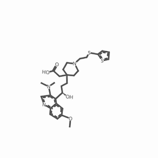 COc1ccc2ncc(N(C)C)c([C@H](O)CCC3(CC(=O)O)CCN(CCSc4cccs4)CC3)c2c1